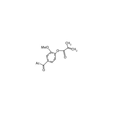 C=C(C)C(=O)Oc1ccc(C(=O)C(C)=O)cc1OC